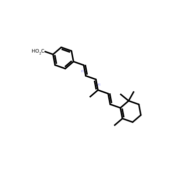 CC1=C(C=C/C(C)=C/C=C/c2ccc(C(=O)O)cc2)C(C)(C)CCC1